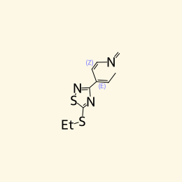 C=N/C=C\C(=C/C)c1nsc(SCC)n1